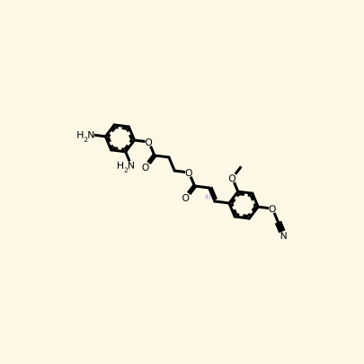 COc1cc(OC#N)ccc1/C=C/C(=O)OCCC(=O)Oc1ccc(N)cc1N